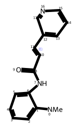 CNc1ccccc1NC(=O)/C=C/c1cccnc1